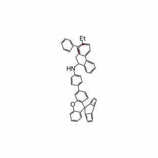 C=C(CC)/C(=C/CC(Nc1ccc(-c2ccc3c(c2)Oc2ccccc2C32c3ccccc3-c3ccccc32)cc1)c1ccccc1-c1ccccc1)c1ccccc1